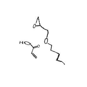 C=CC(=O)O.CCCCCOCC1CO1